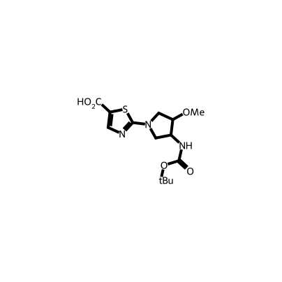 COC1CN(c2ncc(C(=O)O)s2)CC1NC(=O)OC(C)(C)C